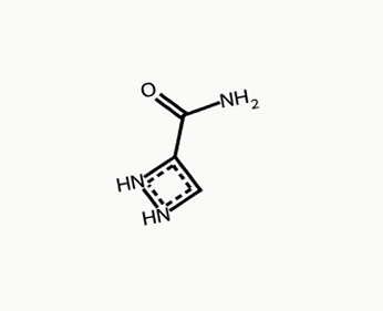 NC(=O)c1c[nH][nH]1